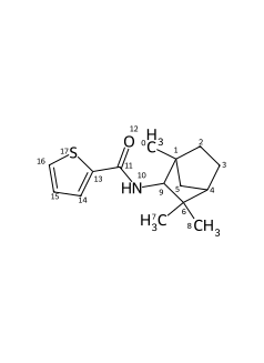 CC12CCC(C1)C(C)(C)C2NC(=O)c1cccs1